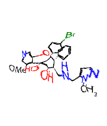 COc1cncc2c1[C@]1(O)[C@H](O)[C@H](CNCc3ccnn3C)[C@@H](c3ccccc3)[C@]1(c1ccc(Br)cc1)O2